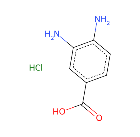 Cl.Nc1ccc(C(=O)O)cc1N